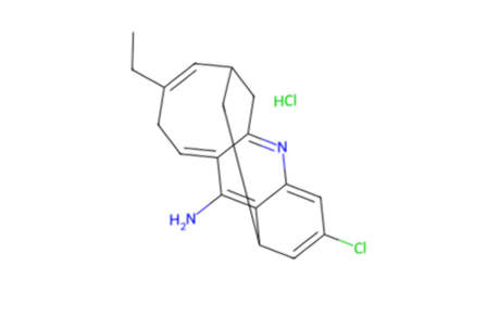 CCC1=CC2Cc3nc4c(c(N)c3=CC1)C(C=C(Cl)C=4)C2.Cl